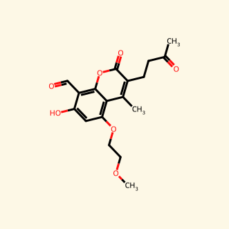 COCCOc1cc(O)c(C=O)c2oc(=O)c(CCC(C)=O)c(C)c12